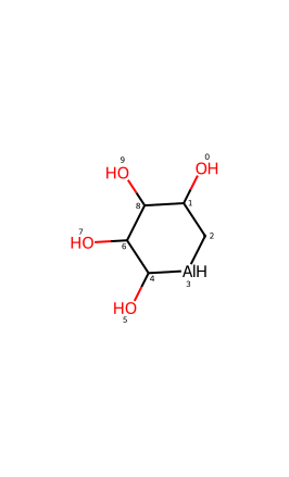 OC1[CH2][AlH][CH](O)C(O)C1O